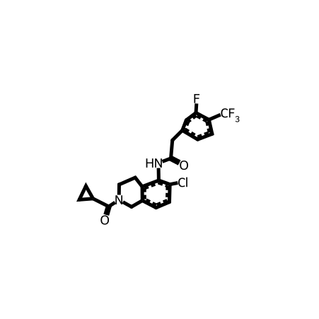 O=C(Cc1ccc(C(F)(F)F)c(F)c1)Nc1c(Cl)ccc2c1CCN(C(=O)C1CC1)C2